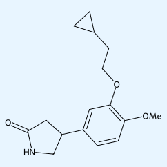 COc1ccc(C2CNC(=O)C2)cc1OCCC1CC1